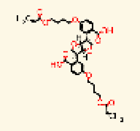 C=CC(=O)OCCCCOc1ccc(C(=O)O)c([C@H]2CO[C@H]3[C@@H]2OC[C@H]3c2cc(OCCCCOC(=O)C=C)ccc2C(=O)O)c1